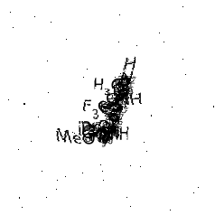 COC(=O)N[C@H](C(=O)N1CCCC1c1nc(-c2ccc(-c3ccc(C(=O)Nc4ccc(N5CCNCC5C)nc4)cc3OC(F)(F)F)cc2)c[nH]1)C(C)C